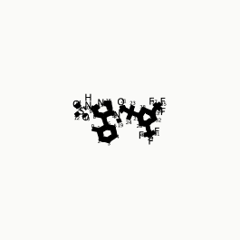 Cc1ccccc1-c1cc(NS(C)(=O)=O)ncc1N(C)C(=O)C(C)(C)c1cc(C(F)(F)F)cc(C(F)(F)F)c1